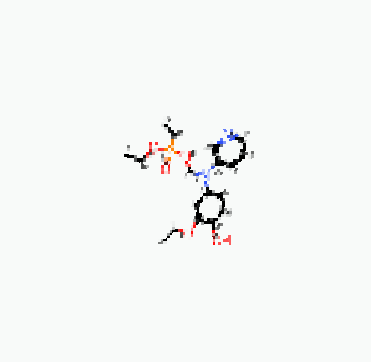 CCOc1cc(N(COP(=O)(CC)OCC)c2cccnc2)ccc1O